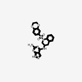 Nc1nc(NC2Cc3ccccc3N(S(=O)(=O)c3ccc4c(c3)OCCO4)C2)c2cn[nH]c2n1